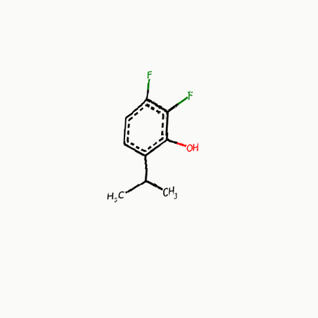 CC(C)c1ccc(F)c(F)c1O